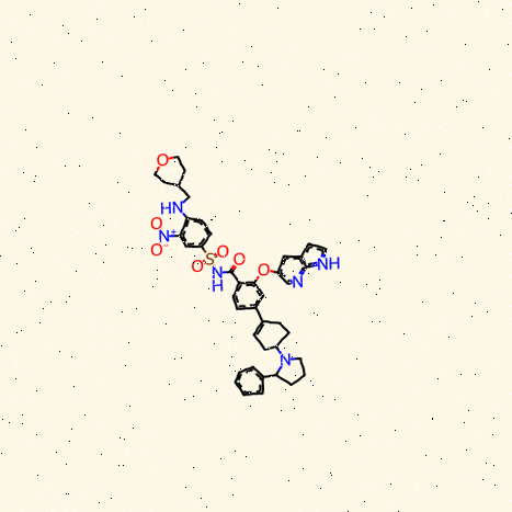 O=C(NS(=O)(=O)c1ccc(NCC2CCOCC2)c([N+](=O)[O-])c1)c1ccc(C2=CCC(N3CCCC3c3ccccc3)CC2)cc1Oc1cnc2[nH]ccc2c1